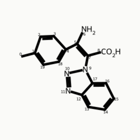 Cc1ccc(/C(N)=C(/C(=O)O)n2nnc3ccccc32)cc1